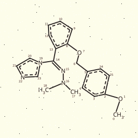 COc1ccc(COc2ccccc2/C(=N/N(C)C)n2ccnc2)cc1